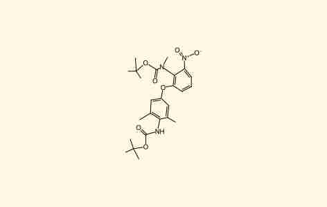 Cc1cc(Oc2cccc([N+](=O)[O-])c2N(C)C(=O)OC(C)(C)C)cc(C)c1NC(=O)OC(C)(C)C